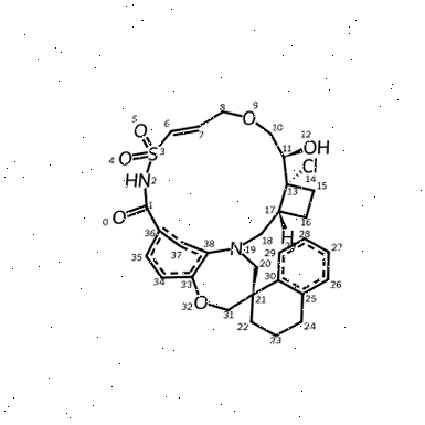 O=C1NS(=O)(=O)/C=C/COC[C@@H](O)[C@@]2(Cl)CC[C@@H]2CN2C[C@@]3(CCCc4ccccc43)COc3ccc1cc32